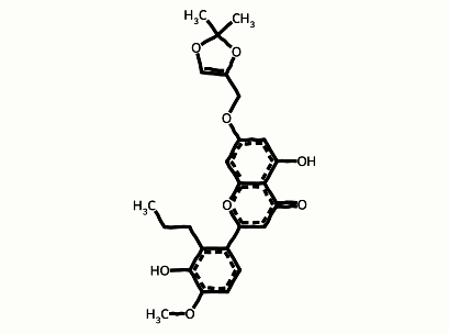 CCCc1c(-c2cc(=O)c3c(O)cc(OCC4=COC(C)(C)O4)cc3o2)ccc(OC)c1O